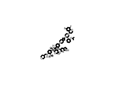 CC(C)Oc1ccccc1[C@H]1CN([C@H]2CCOc3c(F)cc(F)cc32)CCN1C1CC2(CCN(c3ccc(C(=O)NS(=O)(=O)c4ccc(NCC5CCOCC5)c([N+](=O)[O-])c4)c(N4c5cc6cc[nH]c6nc5O[C@H]5COCC[C@@H]54)c3)CC2)C1